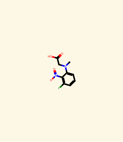 CN(CC(=O)O)c1cccc(F)c1[N+](=O)[O-]